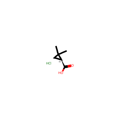 CC1(C)C[C@@H]1C(=O)O.Cl